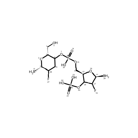 B[C@@H]1O[C@H](CO)C(OP(=O)(O)OC[C@H]2O[C@@H](B)C(F)C2OP(=O)(O)O)CC1F